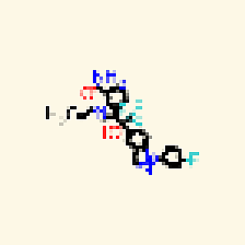 C=CCn1cc(C(O)(c2ccc3c(cnn3-c3ccc(F)cc3)c2)C(F)(F)F)c2cccc(C(N)=O)c21